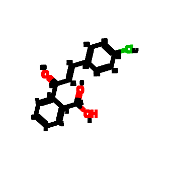 O=C(O)c1ccccc1C(=O)C=Cc1ccc(Cl)cc1